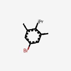 Cc1cc(Br)cc(C)c1C(C)C